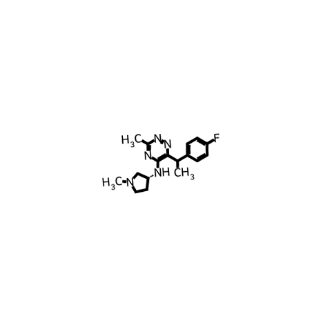 Cc1nnc(C(C)c2ccc(F)cc2)c(N[C@@H]2CCN(C)C2)n1